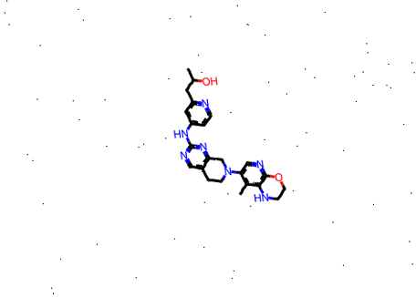 Cc1c(N2CCc3cnc(Nc4ccnc(CC(C)O)c4)nc3C2)cnc2c1NCCO2